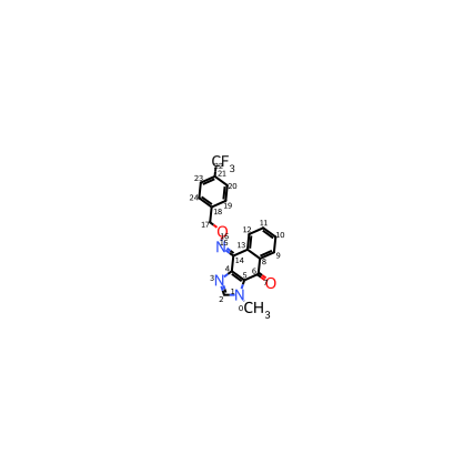 Cn1cnc2c1C(=O)c1ccccc1C2=NOCc1ccc(C(F)(F)F)cc1